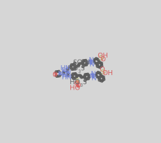 O=S(O)c1cc2nn(-c3ccc(C=Cc4ccc(Nc5nc(Nc6ccc(C=Cc7ccc(-n8nc9cc(S(=O)O)c%10ccccc%10c9n8)cc7S(=O)(=O)O)c(S(=O)(=O)O)c6)nc(N6CCOCC6)n5)cc4SOOO)c(S(=O)(=O)O)c3)nc2c2ccccc12